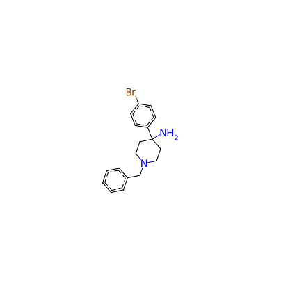 NC1(c2ccc(Br)cc2)CCN(Cc2ccccc2)CC1